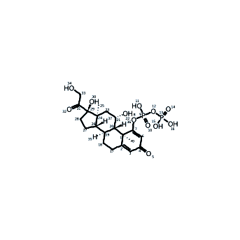 C[C@@]12C(=CC(=O)C=C1OP(=O)(O)OP(=O)(O)O)CC[C@@H]1[C@@H]2[C@@H](O)C[C@@]2(C)[C@H]1CC[C@]2(O)C(=O)CO